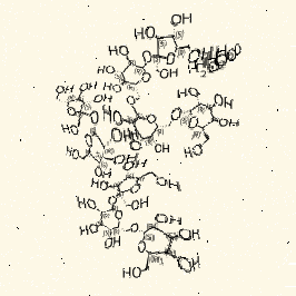 O.O.O.O.OC[C@H]1O[C@@](CO)(O[C@H]2O[C@H](CO)[C@@H](O)[C@H](O)[C@H]2O)[C@@H](O)[C@@H]1O.OC[C@H]1O[C@H](OC[C@H]2O[C@H](OC[C@H]3O[C@H](O[C@]4(CO)O[C@H](CO)[C@@H](O)[C@@H]4O)[C@H](O)[C@@H](O)[C@@H]3O)[C@H](O)[C@@H](O)[C@H]2O)[C@H](O)[C@@H](O)[C@H]1O.OC[C@H]1O[C@H](OC[C@H]2O[C@H](O[C@]3(CO)O[C@H](CO)[C@@H](O)[C@@H]3O)[C@H](O)[C@@H](O)[C@@H]2O)[C@H](O)[C@@H](O)[C@H]1O